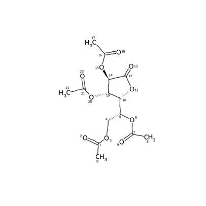 CC(=O)OC[C@@H](OC(C)=O)[C@H]1OC(=O)[C@H](OC(C)=O)[C@H]1OC(C)=O